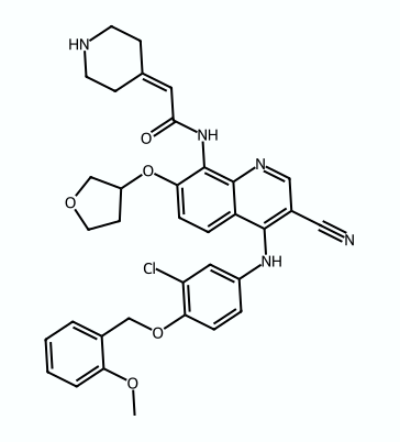 COc1ccccc1COc1ccc(Nc2c(C#N)cnc3c(NC(=O)C=C4CCNCC4)c(OC4CCOC4)ccc23)cc1Cl